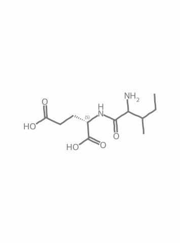 CCC(C)C(N)C(=O)N[C@@H](CCC(=O)O)C(=O)O